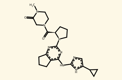 CN1CCN(C(=O)[C@H]2CCCN2c2nc3c(c(Nc4ncc(C5CC5)[nH]4)n2)CCC3)CC1=O